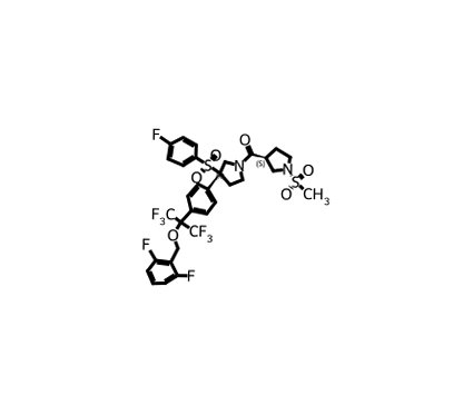 CS(=O)(=O)N1CC[C@H](C(=O)N2CC[C@](c3ccc(C(OCc4c(F)cccc4F)(C(F)(F)F)C(F)(F)F)cc3)(S(=O)(=O)c3ccc(F)cc3)C2)C1